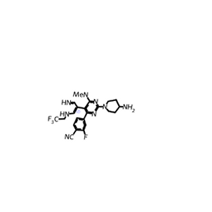 CNc1nc(N2CCC(N)CC2)nc(-c2ccc(C#N)c(F)c2)c1/C(C=N)=C/NCC(F)(F)F